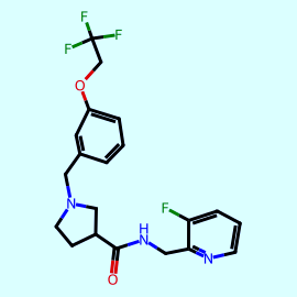 O=C(NCc1ncccc1F)C1CCN(Cc2cccc(OCC(F)(F)F)c2)C1